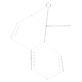 CC12OC1C=Cc1ccccc12